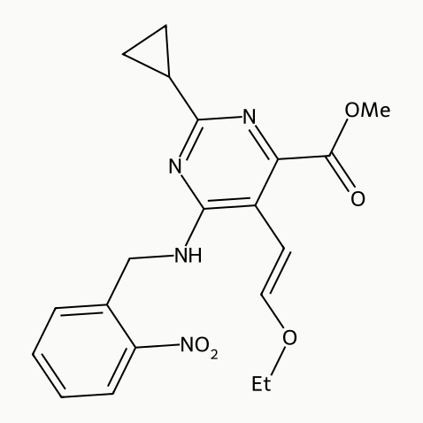 CCOC=Cc1c(NCc2ccccc2[N+](=O)[O-])nc(C2CC2)nc1C(=O)OC